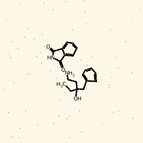 CCC(O)(CCN)Cc1ccccc1.O=C1NC(=O)c2ccccc21